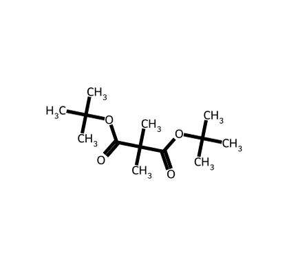 CC(C)(C)OC(=O)C(C)(C)C(=O)OC(C)(C)C